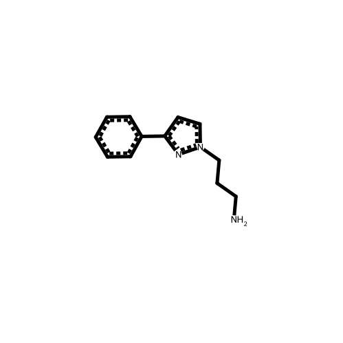 NCCCn1ccc(-c2ccccc2)n1